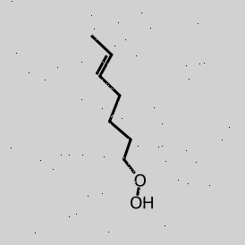 C/C=C/CCCCOO